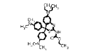 CCOC(=O)NC1=Nc2cc(N(CC)CC)ccc2C(c2ccc(N(C)C)cc2)(c2ccc(N(C)C)cc2)S1